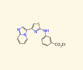 CCOC(=O)c1cccc(Nc2nc(-c3cnc4ccccn34)cs2)c1